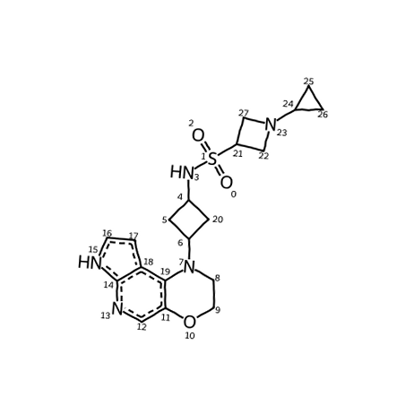 O=S(=O)(NC1CC(N2CCOc3cnc4[nH]ccc4c32)C1)C1CN(C2CC2)C1